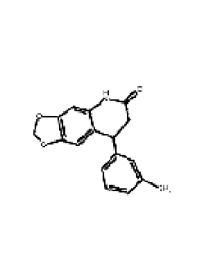 Bc1cccc(C2CC(=O)Nc3cc4c(cc32)OCO4)c1